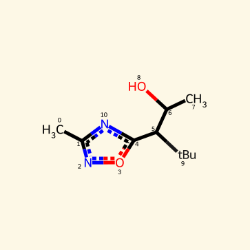 Cc1noc(C(C(C)O)C(C)(C)C)n1